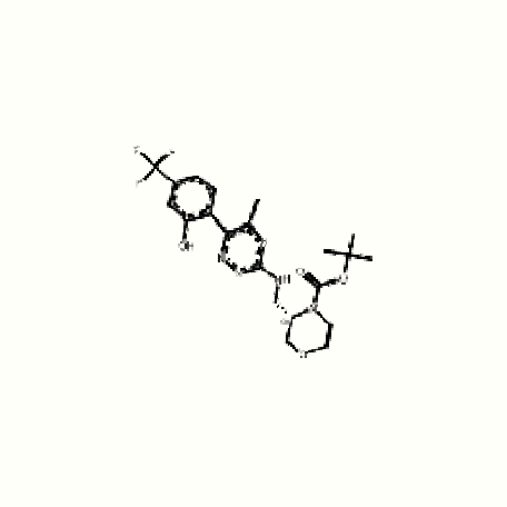 Cc1nc(NC[C@H]2COCCN2C(=O)OC(C)(C)C)nnc1-c1ccc(C(F)(F)F)cc1O